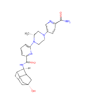 C[C@@H]1CN(c2ccc(C(N)=O)nc2)CCN1c1cccc(C(=O)N[C@H]2C3CC4CC2C[C@](O)(C4)C3)n1